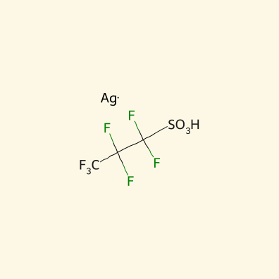 O=S(=O)(O)C(F)(F)C(F)(F)C(F)(F)F.[Ag]